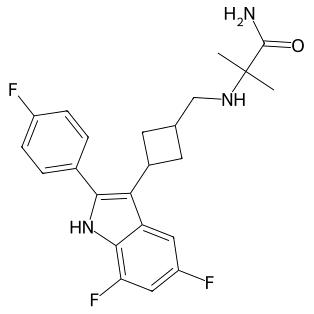 CC(C)(NCC1CC(c2c(-c3ccc(F)cc3)[nH]c3c(F)cc(F)cc23)C1)C(N)=O